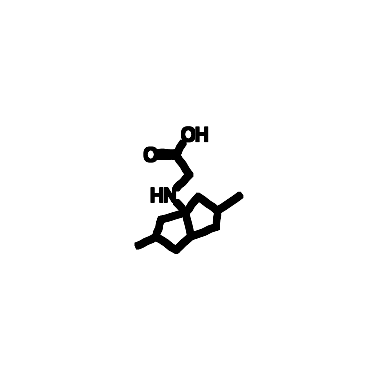 CC1CC2CC(C)CC2(NCC(=O)O)C1